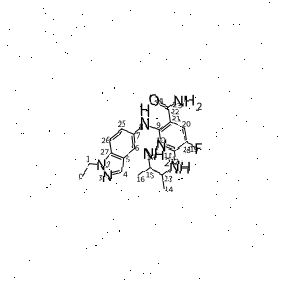 CCn1ncc2cc(Nc3nc(NC(C)C(C)N)c(F)cc3C(N)=O)ccc21